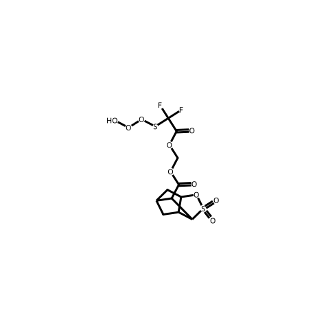 O=C(OCOC(=O)C(F)(F)SOOO)C1C2CC3OS(=O)(=O)C1C3C2